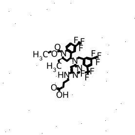 CCOC(=O)N1c2ccc(C(F)(F)F)cc2[C@@H](N(Cc2cc(C(F)(F)F)cc(C(F)(F)F)c2)c2cc(NCCCC(=O)O)ncn2)C[C@H]1CC